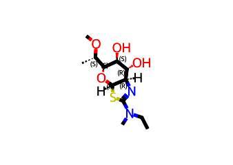 CCN(C)C1=N[C@@H]2[C@@H](O)[C@H](O)[C@@H]([C@H](C)OC)O[C@@H]2S1